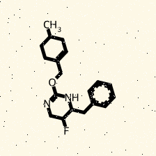 CC1CC=C(COC2=NCC(F)C(Cc3ccccc3)N2)CC1